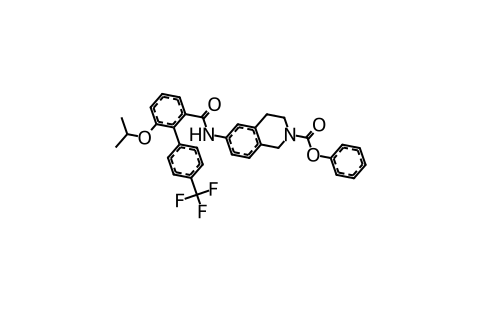 CC(C)Oc1cccc(C(=O)Nc2ccc3c(c2)CCN(C(=O)Oc2ccccc2)C3)c1-c1ccc(C(F)(F)F)cc1